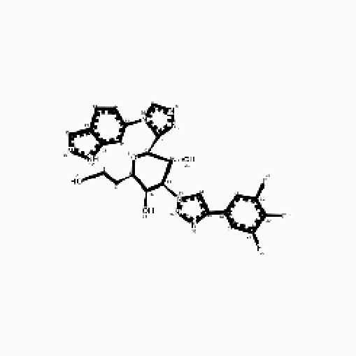 OCC[C@H]1O[C@@H](c2nncn2-c2ccc3cn[nH]c3c2)[C@H](O)[C@@H](n2cc(-c3cc(F)c(F)c(F)c3)nn2)[C@H]1O